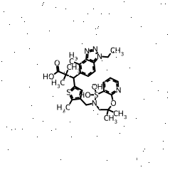 CCn1nnc2c(C)c(C(c3cc(CN4CC(C)(C)Oc5ncccc5S4(O)O)c(C)s3)C(C)(C)C(=O)O)ccc21